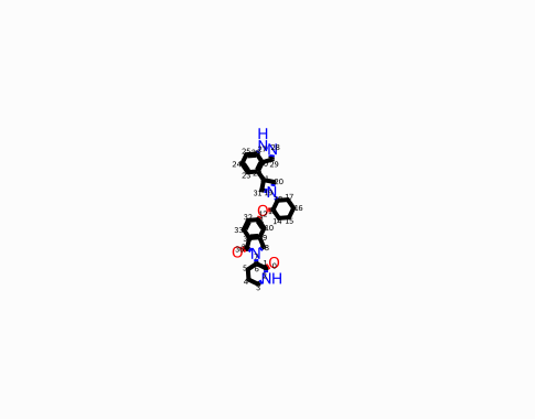 O=C1NCCCC1N1Cc2cc(OC3CCCCC3N3CC(c4cccc5[nH]ncc45)C3)ccc2C1=O